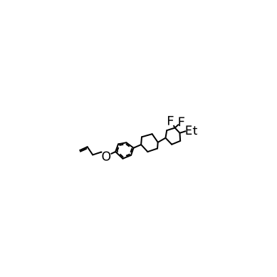 C=CCCOc1ccc(C2CCC(C3CCC(CC)C(F)(F)C3)CC2)cc1